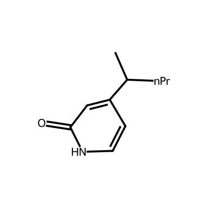 CCCC(C)c1cc[nH]c(=O)c1